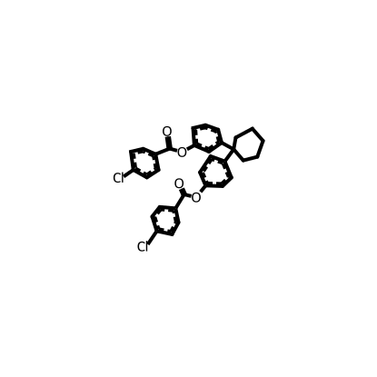 O=C(Oc1ccc(C2(c3cccc(OC(=O)c4ccc(Cl)cc4)c3)CCCCC2)cc1)c1ccc(Cl)cc1